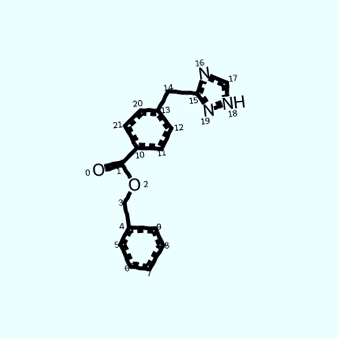 O=C(OCc1ccccc1)c1ccc(Cc2nc[nH]n2)cc1